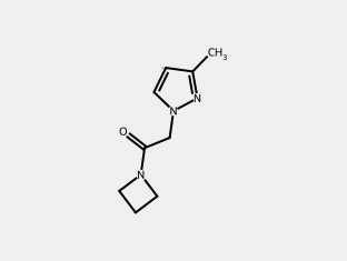 Cc1[c]cn(CC(=O)N2CCC2)n1